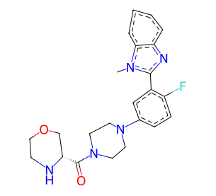 Cn1c(-c2cc(N3CCN(C(=O)[C@H]4COCCN4)CC3)ccc2F)nc2ccccc21